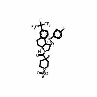 CS(=O)(=O)N1CCC(F)(C(=O)N2CC[C@]3(S(=O)(=O)c4ccc(F)cc4)c4ccc(C(F)(C(F)(F)F)C(F)(F)F)cc4CC[C@H]23)CC1